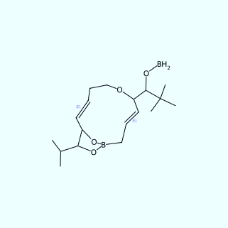 BOC(C1/C=C/CB2OC(/C=C/CCO1)C(C(C)C)O2)C(C)(C)C